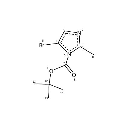 Cc1ncc(Br)n1C(=O)OC(C)(C)C